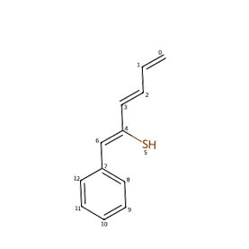 C=CC=CC(S)=Cc1ccccc1